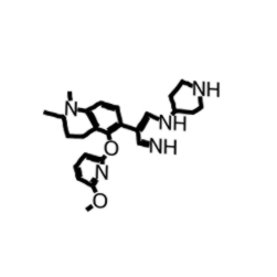 COc1cccc(Oc2c(/C(C=N)=C/NC3CCNCC3)ccc3c2CCC(C)N3C)n1